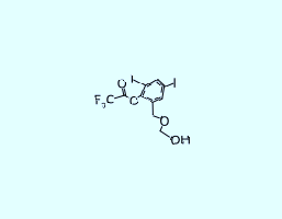 O=C(Oc1c(I)cc(I)cc1COCO)C(F)(F)F